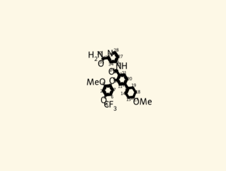 COc1cc(OC(F)(F)F)ccc1Oc1cc(C2=CCC(OC)CC2)ccc1C(=O)Nc1ccnc(C(N)=O)c1